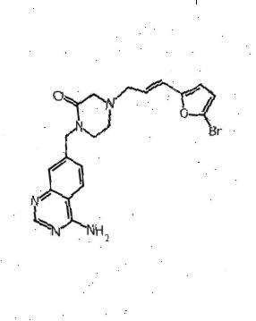 Nc1ncnc2cc(CN3CCN(CC=Cc4ccc(Br)o4)CC3=O)ccc12